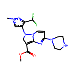 COC(=O)C1=C2N=C(N3CCNCC3)C=CN2N(c2cn(C)nc2C(F)F)C1